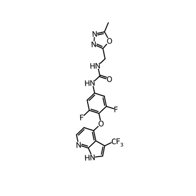 Cc1nnc(CNC(=O)Nc2cc(F)c(Oc3ccnc4[nH]cc(C(F)(F)F)c34)c(F)c2)o1